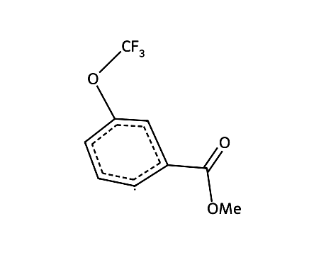 COC(=O)c1[c]ccc(OC(F)(F)F)c1